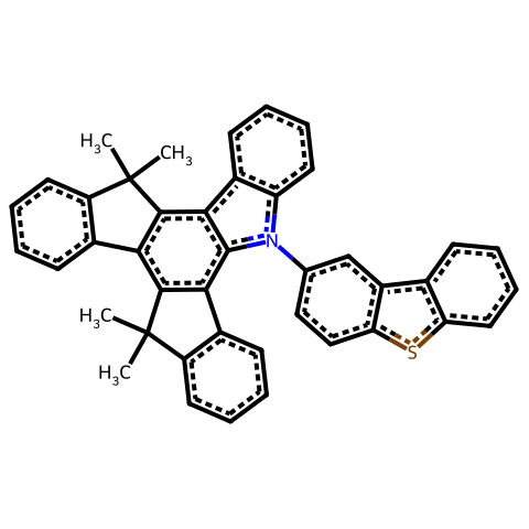 CC1(C)c2ccccc2-c2c1c1c(c3c4ccccc4n(-c4ccc5sc6ccccc6c5c4)c23)C(C)(C)c2ccccc2-1